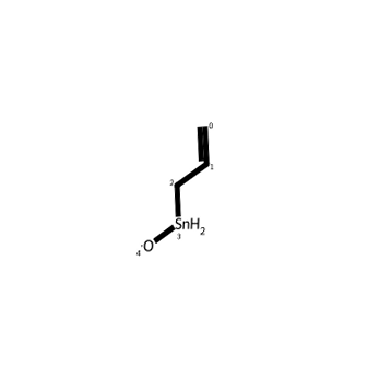 C=C[CH2][SnH2][O]